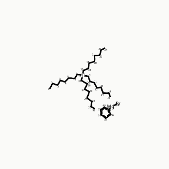 CCCCCCC[CH2][Ti]([CH2]CCCCCCC)([CH2]CCCCCCC)[CH2]CCCCCCC.[Br][Mg][c]1ccccc1